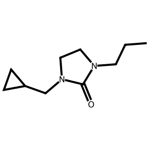 CCCN1CCN(CC2CC2)C1=O